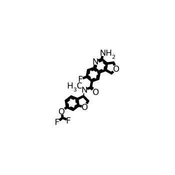 CN(C(=O)c1cc2c3c(c(N)nc2cc1F)COC3)[C@@H]1COc2cc(OC(F)F)ccc21